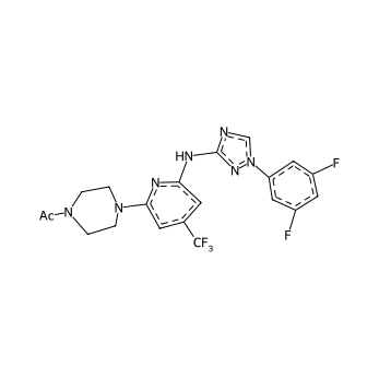 CC(=O)N1CCN(c2cc(C(F)(F)F)cc(Nc3ncn(-c4cc(F)cc(F)c4)n3)n2)CC1